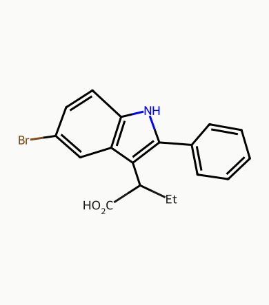 CCC(C(=O)O)c1c(-c2ccccc2)[nH]c2ccc(Br)cc12